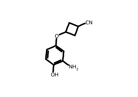 N#CC1CC(Oc2ccc(O)c(N)c2)C1